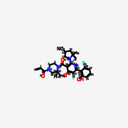 C=CC(=O)N1CCN2C(=O)c3c(N4CC(C#N)CC4(C)C)nc(-c4c(O)cccc4F)c(F)c3OC[C@H]2C1